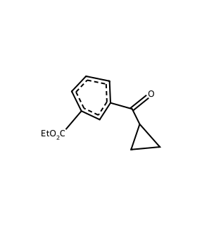 CCOC(=O)c1cccc(C(=O)C2CC2)c1